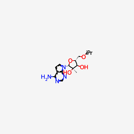 CC(C)OC[C@H]1O[C@@H](n2ccc3c(N)ncnc32)[C@](C)(O)[C@@H]1O